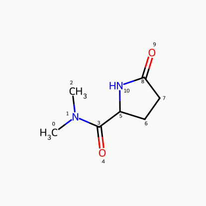 CN(C)C(=O)C1CCC(=O)N1